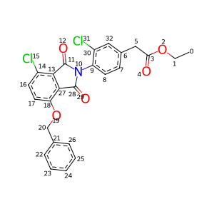 CCOC(=O)Cc1ccc(N2C(=O)c3c(Cl)ccc(OCc4ccccc4)c3C2=O)c(Cl)c1